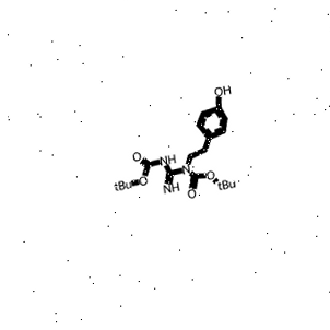 CC(C)(C)OC(=O)NC(=N)N(CCc1ccc(O)cc1)C(=O)OC(C)(C)C